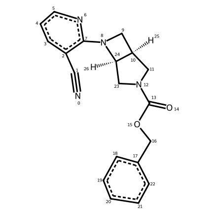 N#Cc1cccnc1N1C[C@H]2CN(C(=O)OCc3ccccc3)C[C@H]21